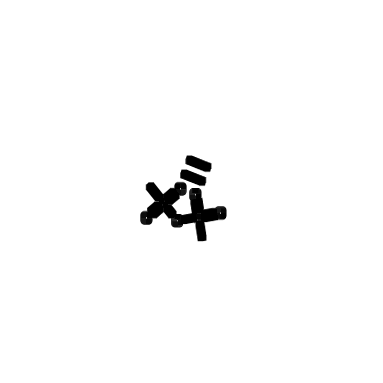 CC.CC.CS(=O)(=O)OS(C)(=O)=O